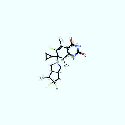 CC1=C(F)C(C2CC2)(N2CC3CC(F)(F)C(N)C3C2)C(C)c2[nH]c(=O)[nH]c(=O)c21